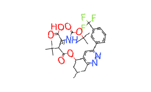 CC1Cc2nnc(-c3cccc(C(F)(F)F)c3)cc2C(OC(=O)C([C@H](NC(=O)OC(C)(C)C)C(=O)O)C(C)(C)C)C1